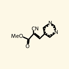 COC(=O)/C(C#N)=C/c1cncnc1